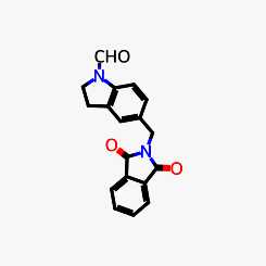 O=CN1CCc2cc(CN3C(=O)c4ccccc4C3=O)ccc21